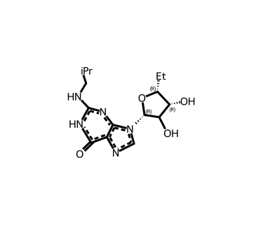 CC[C@H]1O[C@@H](n2cnc3c(=O)[nH]c(NCC(C)C)nc32)C(O)[C@H]1O